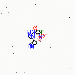 COc1cc(F)c([N+](=O)[O-])cc1Nc1nccc(-c2cccc3c2cnn3C)n1